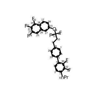 CCCc1ccc(-c2ccc(CCC(F)(F)Oc3ccc4c(F)c(F)c(F)cc4c3)cc2)c(F)c1F